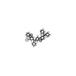 Clc1cc(N(c2ccccc2)c2ccc3c(c2)oc2ccc(N(c4ccccc4)c4ccccc4)cc23)cc2oc3ccccc3c12